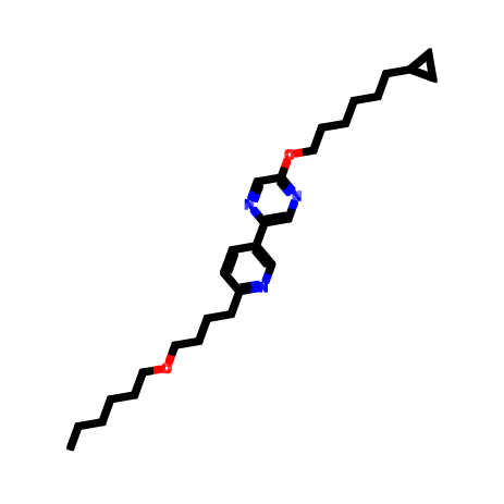 CCCCCCOCCCCc1ccc(-c2cnc(OCCCCCCC3CC3)cn2)cn1